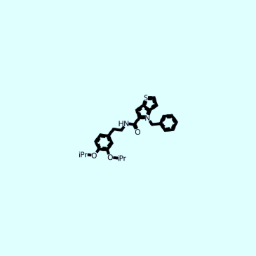 CC(C)Oc1ccc(CCNC(=O)c2cc3sccc3n2Cc2ccccc2)cc1OC(C)C